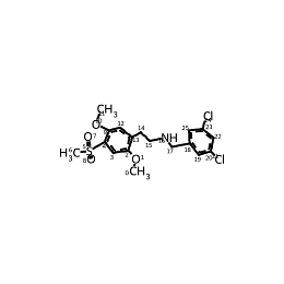 COc1cc(S(C)(=O)=O)c(OC)cc1CCNCc1cc(Cl)cc(Cl)c1